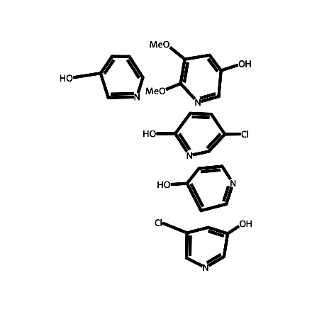 COc1cc(O)cnc1OC.Oc1ccc(Cl)cn1.Oc1cccnc1.Oc1ccncc1.Oc1cncc(Cl)c1